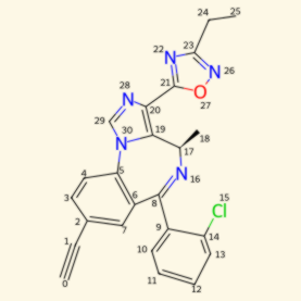 C#Cc1ccc2c(c1)C(c1ccccc1Cl)=N[C@H](C)c1c(-c3nc(CC)no3)ncn1-2